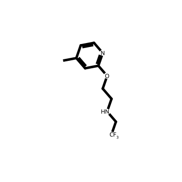 Cc1ccnc(OCCNCC(F)(F)F)c1